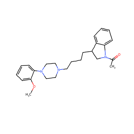 COc1ccccc1N1CCN(CCCCC2CN(C(C)=O)c3ccccc32)CC1